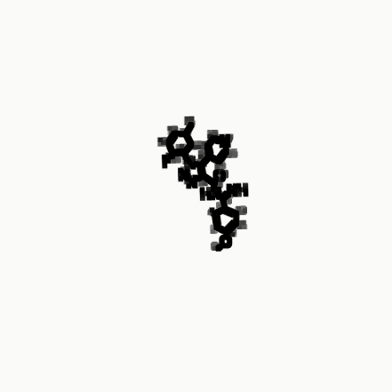 COc1ccc(C(=N)NC(=O)c2nnn(C3=C(F)C=CC(C)C3)c2-c2ccncc2)cc1